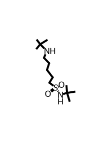 CC(C)(C)NCCCCCS(=O)(=O)NC(C)(C)C